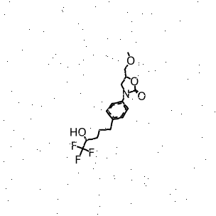 COCC1CN(c2ccc(CCCC(O)C(F)(F)F)cc2)C(=O)O1